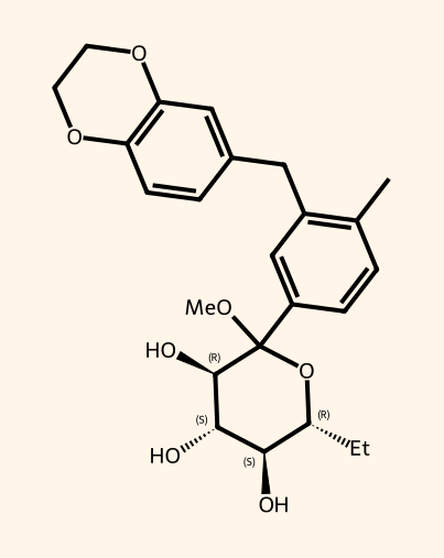 CC[C@H]1OC(OC)(c2ccc(C)c(Cc3ccc4c(c3)OCCO4)c2)[C@H](O)[C@@H](O)[C@@H]1O